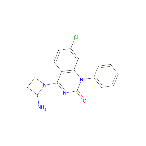 NC1CCN1c1nc(=O)n(-c2ccccc2)c2cc(Cl)ccc12